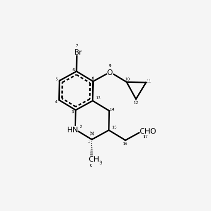 C[C@@H]1Nc2ccc(Br)c(OC3CC3)c2CC1CC=O